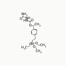 CCO[Si](CCc1ccc(C(C)OC(=O)NNC(N)=O)cc1)(OCC)OCC